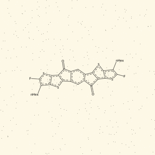 CCCCCCc1c(F)sc2c1sc1c3cc4c(=O)c5c6sc(F)c(CCCCCC)c6sc5c4cc3c(=O)c21